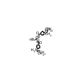 [CH2]CCC[C](OOC(=O)c1ccc([Si](C)(C=C)C=C)cc1)OOC(=O)c1ccc([Si](C)(C=C)C=C)cc1